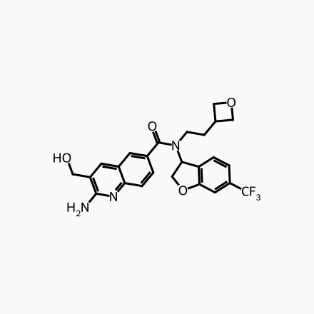 Nc1nc2ccc(C(=O)N(CCC3COC3)C3COc4cc(C(F)(F)F)ccc43)cc2cc1CO